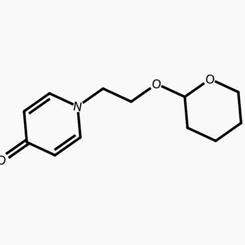 O=c1ccn(CCOC2CCCCO2)cc1